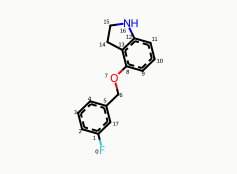 Fc1cccc(COc2cccc3c2CCN3)c1